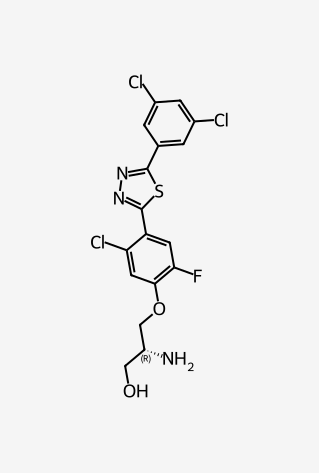 N[C@H](CO)COc1cc(Cl)c(-c2nnc(-c3cc(Cl)cc(Cl)c3)s2)cc1F